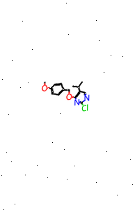 COc1ccc(COc2nc(Cl)ncc2C(C)C)cc1